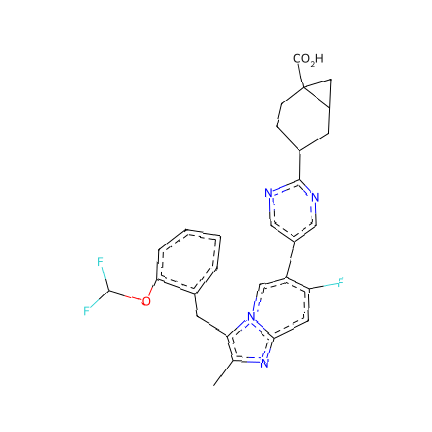 Cc1nc2cc(F)c(-c3cnc(C4CCC5(C(=O)O)CC5C4)nc3)cn2c1Cc1ccccc1OC(F)F